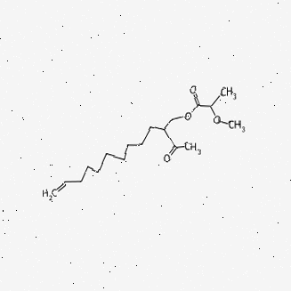 C=CCCCCCCCCC(COC(=O)C(C)OC)C(C)=O